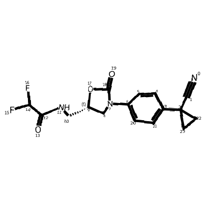 N#CC1(c2ccc(N3C[C@H](CNC(=O)C(F)F)OC3=O)cc2)CC1